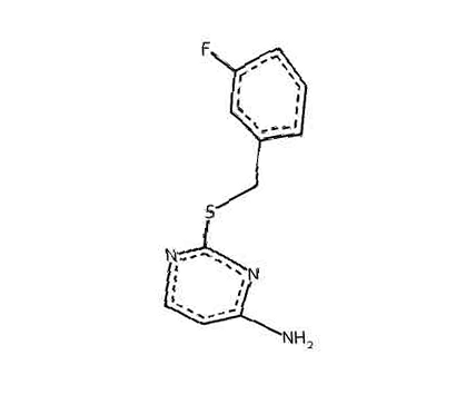 Nc1ccnc(SCc2cccc(F)c2)n1